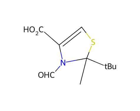 CC(C)(C)C1(C)SC=C(C(=O)O)N1C=O